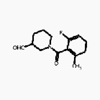 CC1=C(C(=O)N2CCCC(C=O)C2)C(F)=CCC1